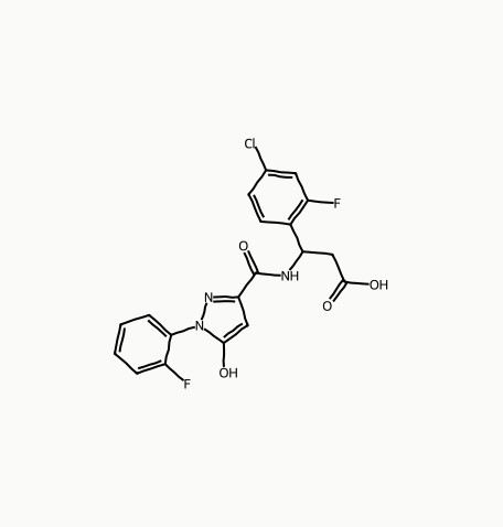 O=C(O)CC(NC(=O)c1cc(O)n(-c2ccccc2F)n1)c1ccc(Cl)cc1F